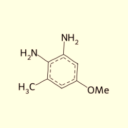 COc1cc(C)c(N)c(N)c1